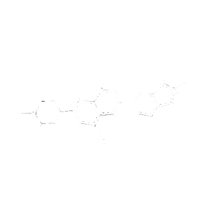 CCN1CC=C(c2cc(F)c3cc(-c4cc(F)c5nn(C)cc5c4)nnc3c2)CC1